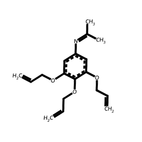 C=CCOc1cc(N=C(C)C)cc(OCC=C)c1OCC=C